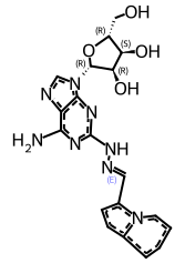 Nc1nc(N/N=C/c2ccc3ccccn23)nc2c1ncn2[C@@H]1O[C@H](CO)[C@@H](O)[C@H]1O